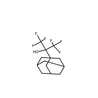 OC(C(F)(F)F)(C(F)(F)F)C12CC3CC(CC(C3)C1)C2